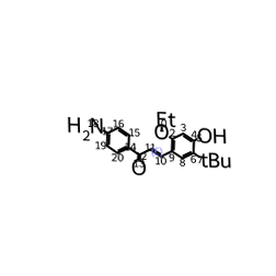 CCOc1cc(O)c(C(C)(C)C)cc1/C=C/C(=O)c1ccc(N)cc1